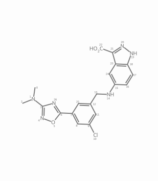 CN(C)c1noc(-c2cc(Cl)cc(CNc3ccc4[nH]nc(C(=O)O)c4c3)c2)n1